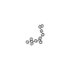 c1ccc(-c2c3ccccc3c(-c3ccc(-n4c5ccccc5c5cc(-c6cccc(-c7ccc(-c8cccc9ccccc89)cc7)c6)ccc54)cc3)c3ccccc23)cc1